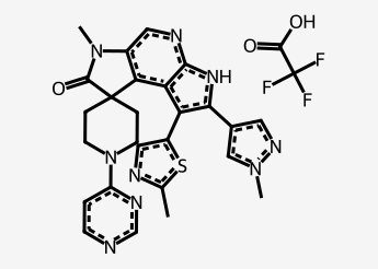 Cc1ncc(-c2c(-c3cnn(C)c3)[nH]c3ncc4c(c23)C2(CCN(c3ccncn3)CC2)C(=O)N4C)s1.O=C(O)C(F)(F)F